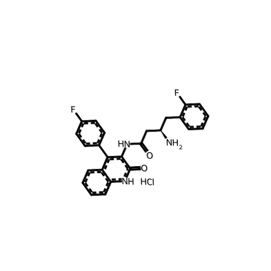 Cl.N[C@@H](CC(=O)Nc1c(-c2ccc(F)cc2)c2ccccc2[nH]c1=O)Cc1ccccc1F